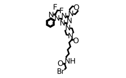 O=C(CBr)NCCCCCC(=O)N1CCN(c2nc(N3CCOCC3)nc(-n3c(C(F)F)nc4ccccc43)n2)CC1